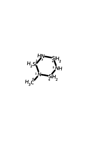 CN1[SiH2]N[SiH2]N[SiH2]1